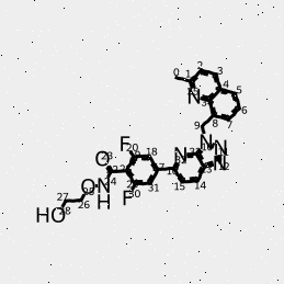 Cc1ccc2cccc(Cn3nnc4ccc(-c5cc(F)c(C(=O)NOCCO)c(F)c5)nc43)c2n1